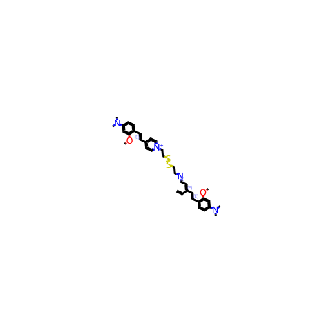 C=CC(/C=C/c1ccc(N(C)C)cc1OC)=C\C=N\CCSSCC[n+]1ccc(/C=C/c2ccc(N(C)C)cc2OC)cc1